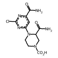 NC(=O)c1cc(N2CCN(C(=O)O)CC2C(N)=O)nc(Cl)n1